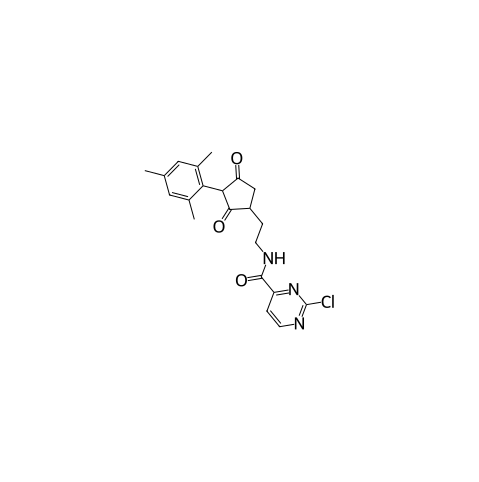 Cc1cc(C)c(C2C(=O)CC(CCNC(=O)c3ccnc(Cl)n3)C2=O)c(C)c1